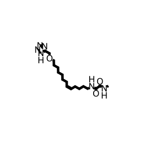 CNC(=O)C(=O)NCCCC/C=C\CCCCCCCOCc1nnn[nH]1